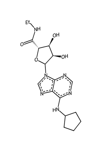 CCNC(=O)[C@H]1OC(n2cnc3c(NC4CCCC4)ncnc32)[C@H](O)[C@@H]1O